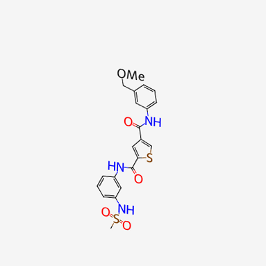 COCc1cccc(NC(=O)c2csc(C(=O)Nc3cccc(NS(C)(=O)=O)c3)c2)c1